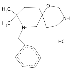 CC1(C)CCC2(CCNCO2)CN1Cc1ccccc1.Cl